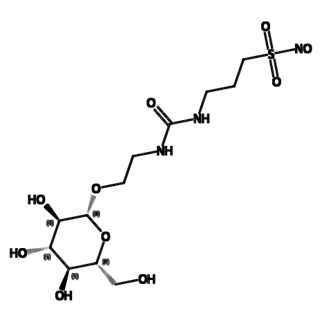 O=NS(=O)(=O)CCCNC(=O)NCCO[C@@H]1O[C@H](CO)[C@@H](O)[C@H](O)[C@H]1O